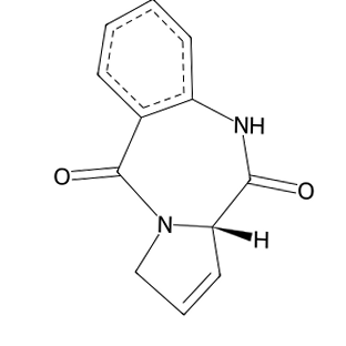 O=C1Nc2ccccc2C(=O)N2CC=C[C@@H]12